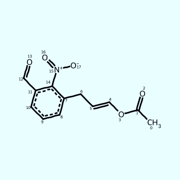 CC(=O)OC=CCc1cccc(C=O)c1[N+](=O)[O-]